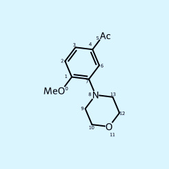 COc1ccc(C(C)=O)cc1N1CCOCC1